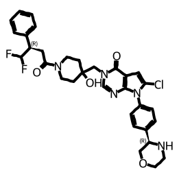 O=C(C[C@H](c1ccccc1)C(F)F)N1CCC(O)(Cn2cnc3c(cc(Cl)n3-c3ccc([C@@H]4COCCN4)cc3)c2=O)CC1